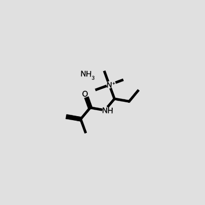 C=C(C)C(=O)NC(CC)[N+](C)(C)C.N